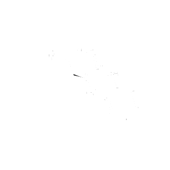 CC(C)C[C@@H]1Nc2ccccc2NC1=O